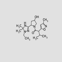 CCN1N=C(C2CC(O)CN2C(=O)C(c2cc(C)no2)C(C)C)NC1(C)C